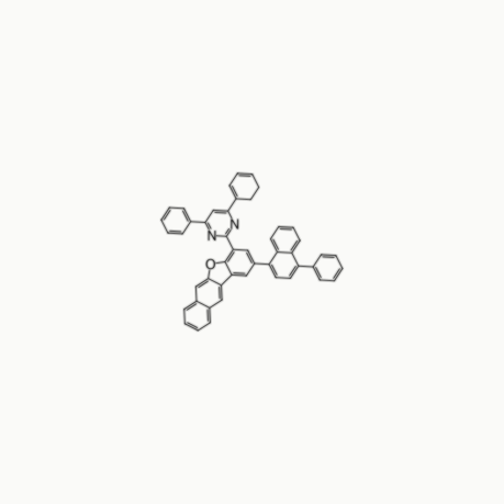 C1=CCCC(c2cc(-c3ccccc3)nc(-c3cc(-c4ccc(-c5ccccc5)c5ccccc45)cc4c3oc3cc5ccccc5cc34)n2)=C1